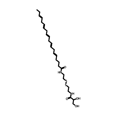 CCC=CCC=CCC=CCC=CCC=CCCCC(=O)NCCSSCCNC(=O)C(O)CO